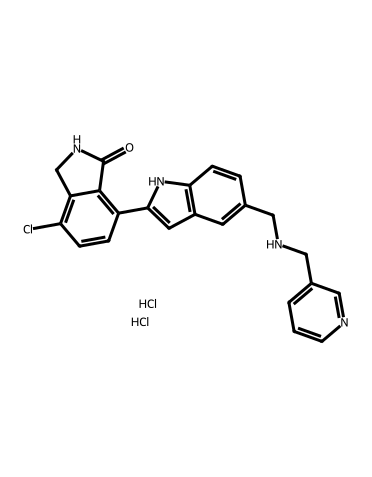 Cl.Cl.O=C1NCc2c(Cl)ccc(-c3cc4cc(CNCc5cccnc5)ccc4[nH]3)c21